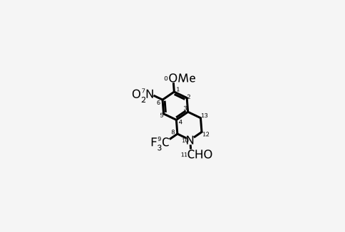 COc1cc2c(cc1[N+](=O)[O-])C(C(F)(F)F)N(C=O)CC2